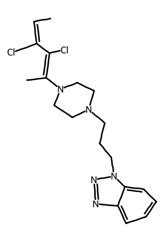 C/C=C(Cl)\C(Cl)=C(/C)N1CCN(CCCn2nnc3ccccc32)CC1